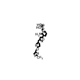 Cc1nc(COc2ccc(Cc3cc(-c4ccc[n+](COP(=O)(O)O)c4N)on3)cn2)cs1